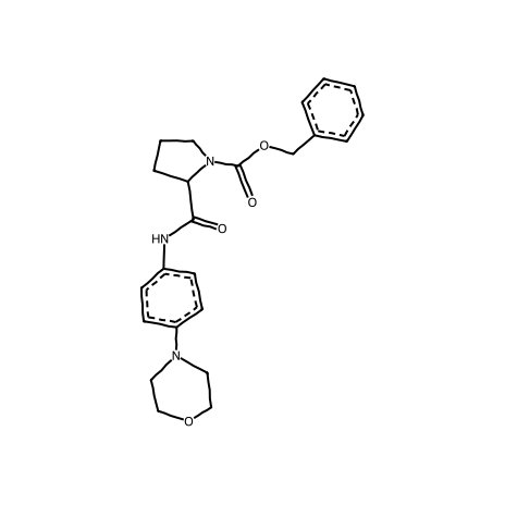 O=C(Nc1ccc(N2CCOCC2)cc1)C1CCCN1C(=O)OCc1ccccc1